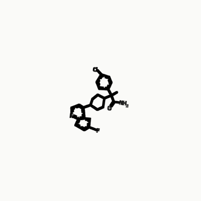 CC(C(N)=O)(c1ccc(Cl)cc1)C1CCC(c2ccnc3ccc(F)cc23)CC1